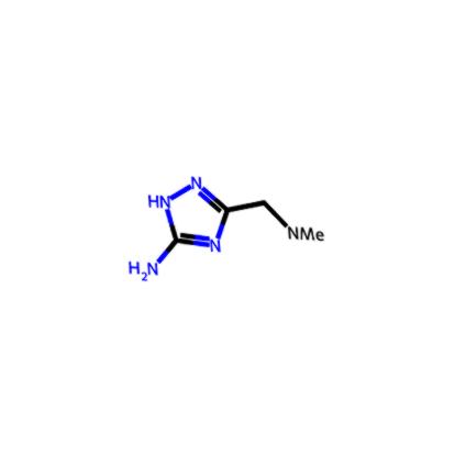 CNCc1n[nH]c(N)n1